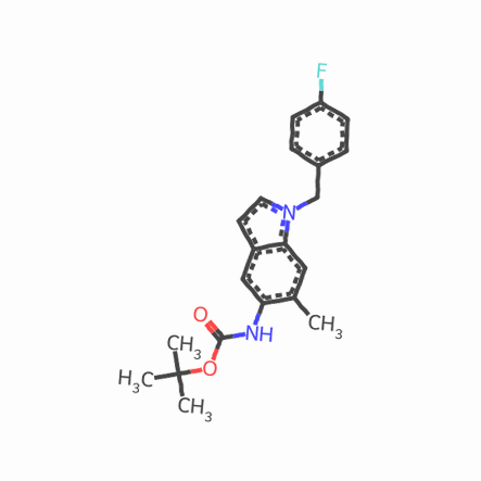 Cc1cc2c(ccn2Cc2ccc(F)cc2)cc1NC(=O)OC(C)(C)C